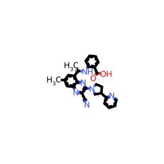 Cc1cc([C@@H](C)Nc2ccccc2C(=O)O)c2nc(N3CCC(c4ccccn4)C3)c(C#N)nc2c1